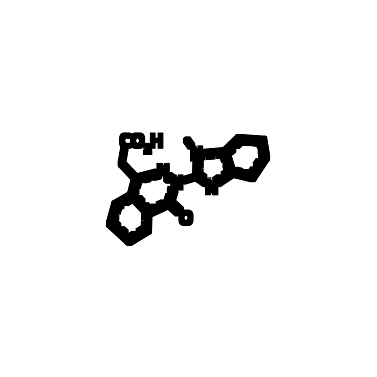 Cn1c(-n2nc(CC(=O)O)c3ccccc3c2=O)nc2ccccc21